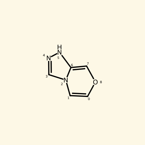 C1=CN2C=NNC2=CO1